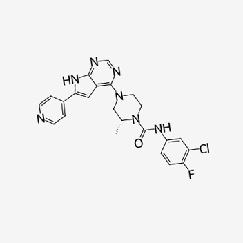 C[C@@H]1CN(c2ncnc3[nH]c(-c4ccncc4)cc23)CCN1C(=O)Nc1ccc(F)c(Cl)c1